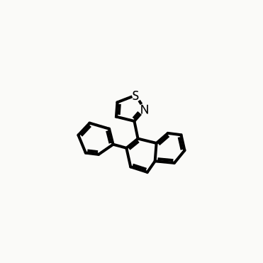 c1ccc(-c2ccc3ccccc3c2-c2ccsn2)cc1